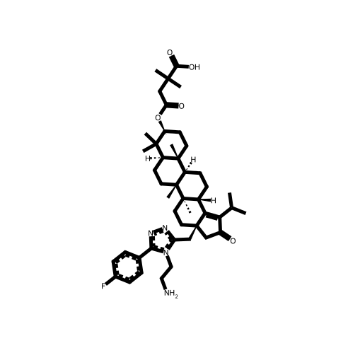 CC(C)C1=C2[C@H]3CC[C@@H]4[C@@]5(C)CC[C@H](OC(=O)CC(C)(C)C(=O)O)C(C)(C)[C@@H]5CC[C@@]4(C)[C@]3(C)CC[C@@]2(Cc2nnc(-c3ccc(F)cc3)n2CCN)CC1=O